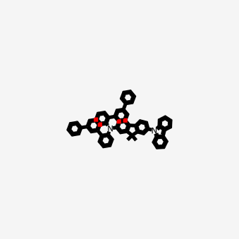 CC1(C)c2cc(N(c3ccccc3-c3cccc(-c4ccccc4)c3)c3ccccc3-c3cccc(-c4ccccc4)c3)ccc2-c2ccc(-n3c4ccccc4c4ccccc43)cc21